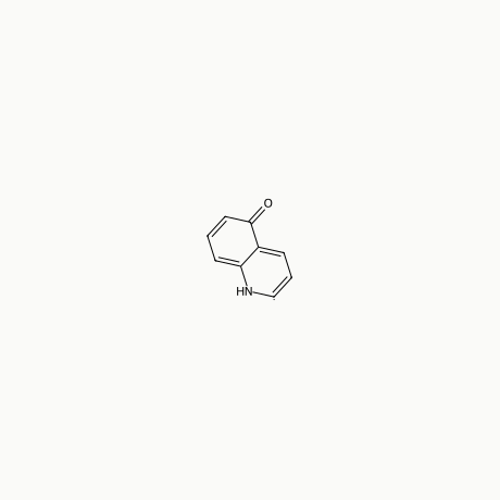 O=c1cccc2[nH][c]ccc1-2